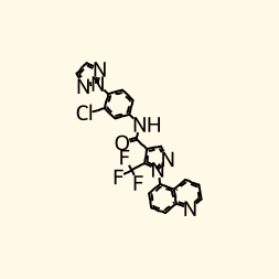 O=C(Nc1ccc(-n2nccn2)c(Cl)c1)c1cnn(-c2cccc3ncccc23)c1C(F)(F)F